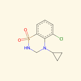 O=S1(=O)NCN(C2CC2)c2c(Cl)cccc21